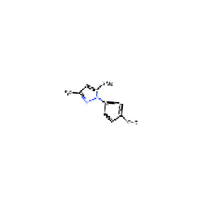 CSc1cc(C(F)(F)F)nn1-c1ccc(C=O)cc1